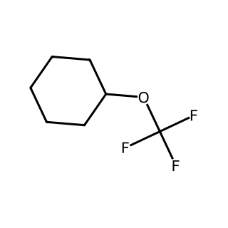 FC(F)(F)OC1CCCCC1